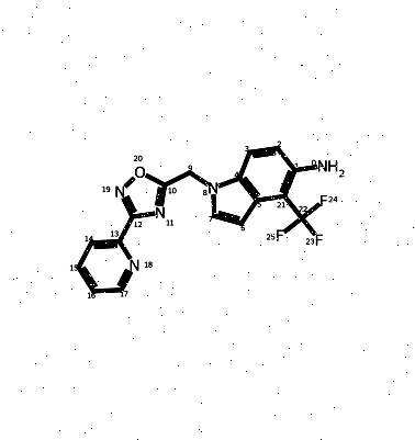 Nc1ccc2c(ccn2Cc2nc(-c3ccccn3)no2)c1C(F)(F)F